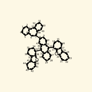 c1ccc2c(c1)cc(-c1ccc3c(-c4cccc5c4oc4ccccc45)c4ccccc4c(-c4cccc5c4oc4ccccc45)c3c1)c1ccccc12